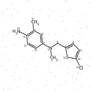 Cc1cc(N(C)Cc2ccc(Cl)s2)ccc1N